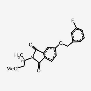 COC[C@H](C)N1C(=O)c2ccc(OCc3cccc(F)c3)cc2C1=O